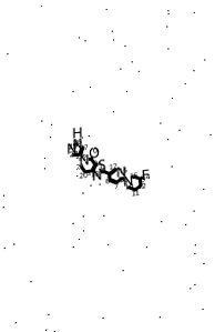 O=C1c2sc(-c3ccc(N4CCCC(F)C4)nc3)nc2CCN1c1cn[nH]c1